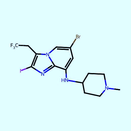 CN1CCC(Nc2cc(Br)cn3c(CC(F)(F)F)c(I)nc23)CC1